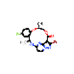 CC1Nc2ccn3nc(Br)c(c3n2)C(=O)OC[C@H](C)Oc2ccc(F)cc21